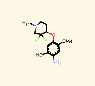 COc1cc(N)c(C#N)cc1O[C@@H]1CCN(C)CC1(F)F